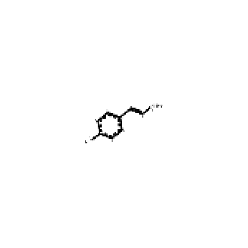 CCCCCC/C=C/c1ccc(C#N)cc1